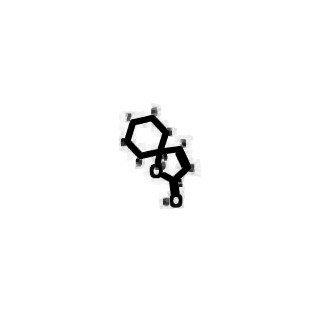 O=C1C=CC2(CCCCC2)O1